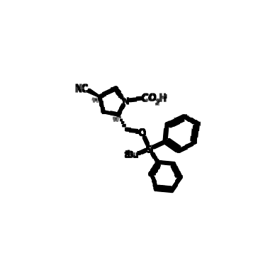 CC(C)(C)[Si](OC[C@@H]1C[C@@H](C#N)CN1C(=O)O)(c1ccccc1)c1ccccc1